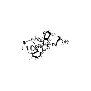 CCC/C(C)=N/n1c(=O)c(C2=NS(O)(O)c3ccccc3N2)c(O)c2sccc21